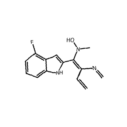 C=C/C(N=C)=C(\c1cc2c(F)cccc2[nH]1)N(C)O